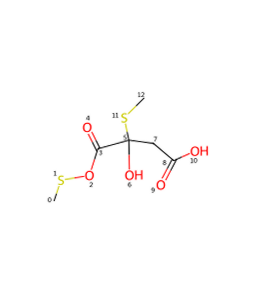 CSOC(=O)C(O)(CC(=O)O)SC